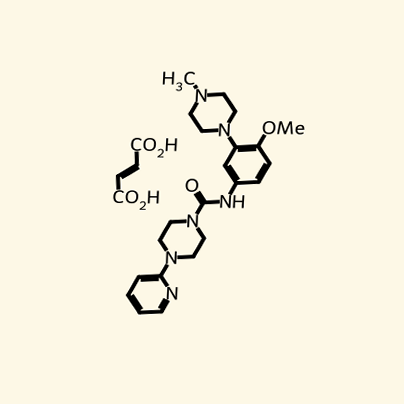 COc1ccc(NC(=O)N2CCN(c3ccccn3)CC2)cc1N1CCN(C)CC1.O=C(O)/C=C/C(=O)O